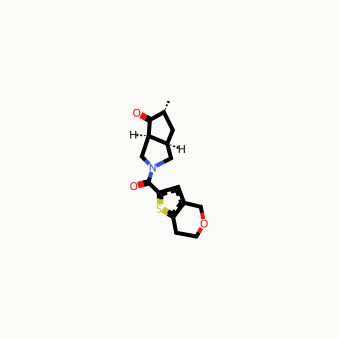 C[C@@H]1C[C@H]2CN(C(=O)c3cc4c(s3)CCOC4)C[C@H]2C1=O